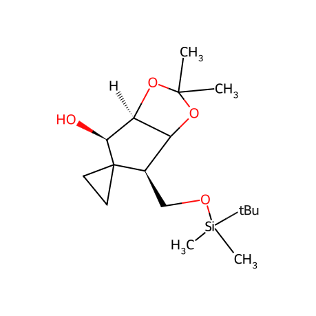 CC1(C)OC2[C@@H](CO[Si](C)(C)C(C)(C)C)C3(CC3)[C@@H](O)[C@H]2O1